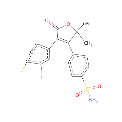 CCCC1(C)OC(=O)C(c2ccc(F)c(F)c2)=C1c1ccc(S(N)(=O)=O)cc1